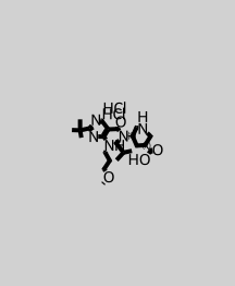 COCCCNc1nc(C(C)(C)C)ncc1C(=O)N(CC(C)C)[C@@H]1CNC[C@H](C(=O)O)C1.Cl.Cl